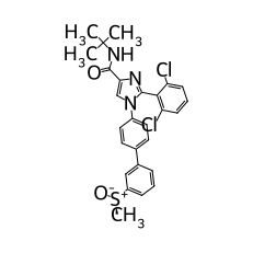 C[S@@+]([O-])c1cccc(-c2ccc(-n3cc(C(=O)NC(C)(C)C)nc3-c3c(Cl)cccc3Cl)cc2)c1